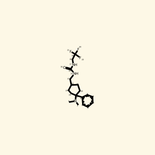 CN(C)C1(c2ccccc2)CCC(CNC(=O)NCC(F)(F)F)CC1